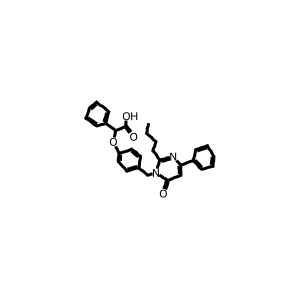 CCCCc1nc(-c2ccccc2)cc(=O)n1Cc1ccc(OC(C(=O)O)c2ccccc2)cc1